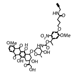 C#CCNC(=O)CCCOc1cc([N+](=O)[O-])c(C(C)OC(=O)NC2C[C@@H](OC3C[C@@](O)(C(=O)CO)Cc4c(O)c5c(c(O)c43)C(=O)c3c(OC)cccc3C5=O)O[C@H](C)[C@@H]2O)cc1OC